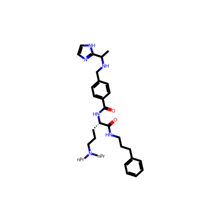 CCCN(CCC)CCC[C@H](NC(=O)c1ccc(CNC(C)c2ncc[nH]2)cc1)C(=O)NCCCc1ccccc1